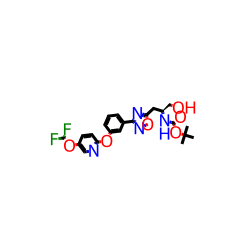 CC(C)(C)OC(=O)N[C@H](CO)Cc1nc(-c2cccc(Oc3ccc(OC(F)F)cn3)c2)no1